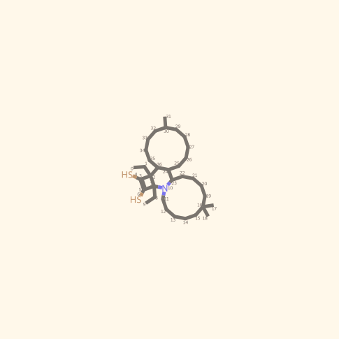 CCC12C(S)=C(S)C1(CC)N1CCCCCC(C)(C)CCCCC1C1CCCCCC(C)CCCCC12